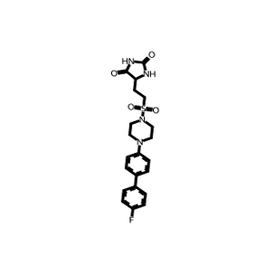 O=C1NC(=O)C(CCS(=O)(=O)N2CCN(c3ccc(-c4ccc(F)cc4)cc3)CC2)N1